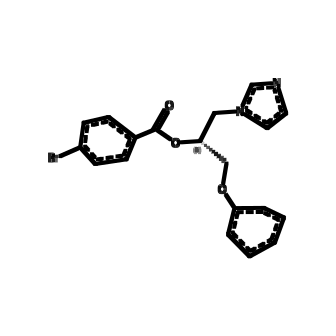 O=C(O[C@@H](COc1ccccc1)Cn1ccnc1)c1ccc(Br)cc1